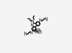 CCCN(CCC)c1nc2cc(N=CCN(C)C)ccc2c2ccc(N=CCN(C)C)cc12.Cl.Cl.Cl